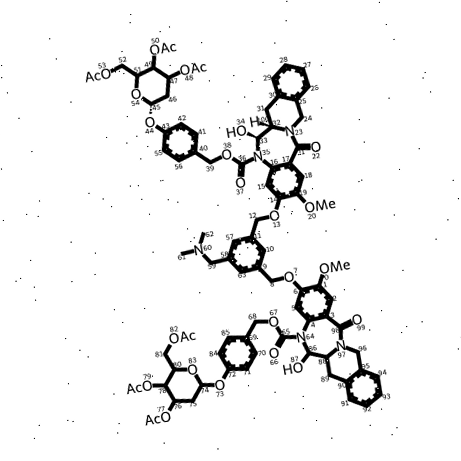 COc1cc2c(cc1OCc1cc(COc3cc4c(cc3OC)C(=O)N3Cc5ccccc5C[C@H]3[C@H](O)N4C(=O)OCc3ccc(O[C@H]4CC(OC(C)=O)C(OC(C)=O)C(COC(C)=O)O4)cc3)cc(CN(C)C)c1)N(C(=O)OCc1ccc(OC3CC(OC(C)=O)C(OC(C)=O)C(COC(C)=O)O3)cc1)C(O)C1Cc3ccccc3CN1C2=O